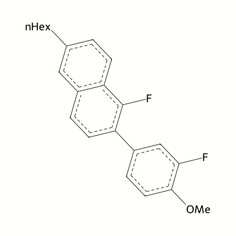 CCCCCCc1ccc2c(F)c(-c3ccc(OC)c(F)c3)ccc2c1